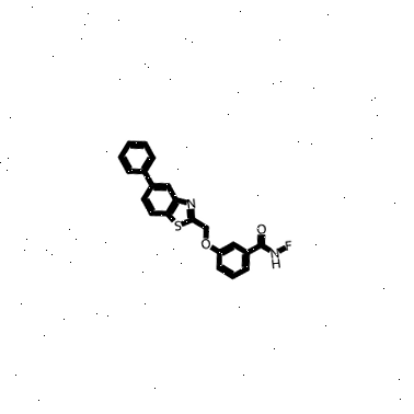 O=C(NF)c1cccc(OCc2nc3cc(-c4ccccc4)ccc3s2)c1